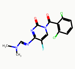 CN(C)C=Nc1nc(=O)n(C(=O)c2c(Cl)cccc2Cl)cc1F